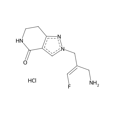 Cl.NCC(=CF)Cn1cc2c(n1)CCNC2=O